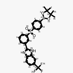 CC1(C)OB(c2ccc(S(=O)(=O)c3cccc(-c4nc5ccc(C(F)(F)F)cc5[nH]4)c3)cc2)OC1(C)C